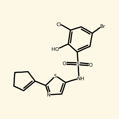 O=S(=O)(Nc1cnc(C2=CCCC2)s1)c1cc(Br)cc(Cl)c1O